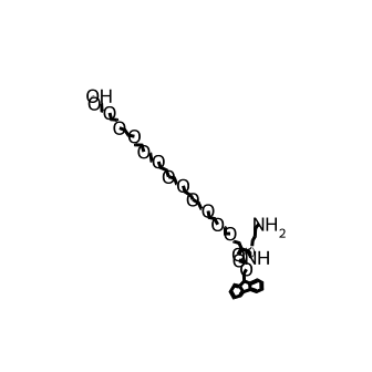 NCCCC[C@H](NC(=O)OCC1c2ccccc2-c2ccccc21)C(=O)CCOCCOCCOCCOCCOCCOCCOCCOCCOCCOCCOCCOO